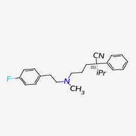 CC(C)[C@@](C#N)(CCCN(C)CCc1ccc(F)cc1)c1ccccc1